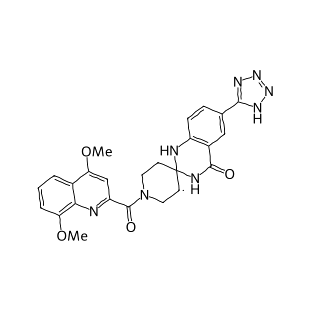 COc1cc(C(=O)N2C[CH]C3(CC2)NC(=O)c2cc(-c4nnn[nH]4)ccc2N3)nc2c(OC)cccc12